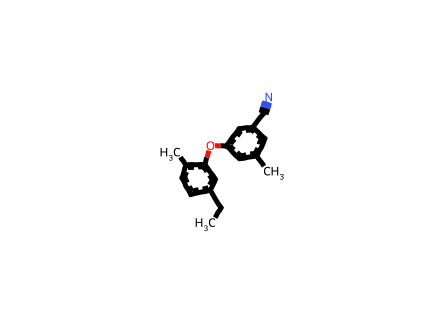 CCc1ccc(C)c(Oc2cc(C)cc(C#N)c2)c1